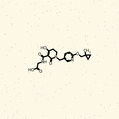 CC1(COc2ccc(CN3CCC(O)=C(C(=O)NCC(=O)O)C3=O)cn2)CC1